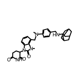 CN(Cc1cccc2c1n(C)c(=O)n2C1CCC(=O)NC1=O)c1ccc(CNC23CC4CC(CC(C4)C2)C3)cc1